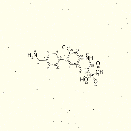 NCc1ccc(-c2cc3cc(P(=O)(O)O)c(=O)[nH]c3cc2Cl)cc1